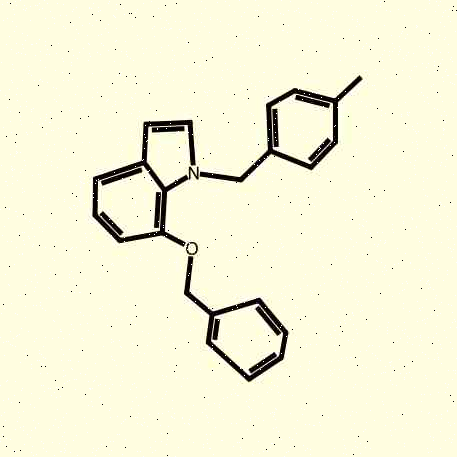 Cc1ccc(Cn2ccc3cccc(OCc4ccccc4)c32)cc1